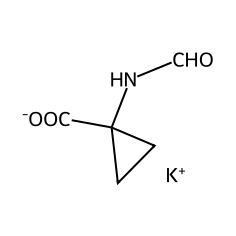 O=CNC1(C(=O)[O-])CC1.[K+]